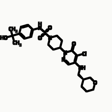 CC(C)(O)c1ccc(NS(=O)(=O)N2CCC(n3ncc(NC[C@@H]4CCCOC4)c(Cl)c3=O)CC2)cc1